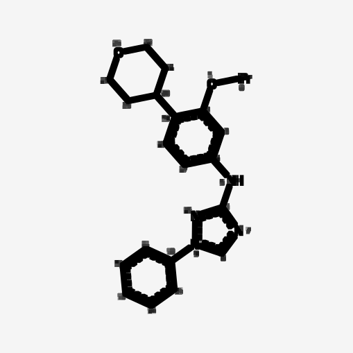 CC(C)Oc1cc(Nc2ncn(-c3ccccc3)n2)ccc1C1CCOCC1